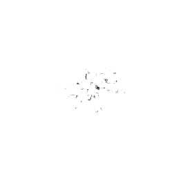 CCCCC(CC)CC(C(=O)[O-])C(CC(CC)CCCC)(C(=O)[O-])S(=O)(=O)O.[Ca+2]